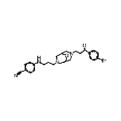 N#Cc1ccc(NCCCN2CC3CN(CCC(=O)c4ccc(Br)cc4)CC(C2)O3)cc1